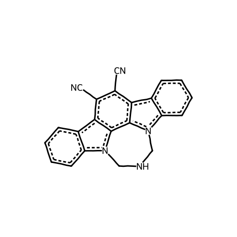 N#Cc1c(C#N)c2c3ccccc3n3c2c2c1c1ccccc1n2CNC3